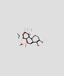 CC(=O)O[C@@H]1[C@@]2(C(C)C)O[C@H]2[C@@H]2O[C@]23[C@]12O[C@H]2C=C1C2=C(CC[C@@]13C)C(=O)OC2